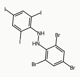 Brc1cc(Br)c(NNc2c(I)cc(I)cc2I)c(Br)c1